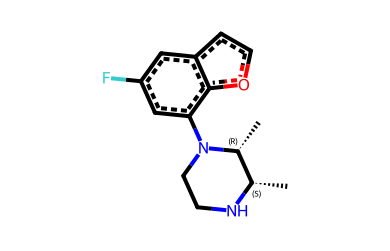 C[C@@H]1NCCN(c2cc(F)cc3ccoc23)[C@@H]1C